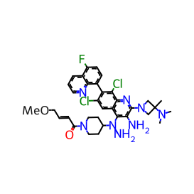 COC/C=C/C(=O)N1CCC(N(N)c2c(N)c(N3CC(C)(N(C)C)C3)nc3c(Cl)c(-c4ccc(F)c5cccnc45)c(Cl)cc23)CC1